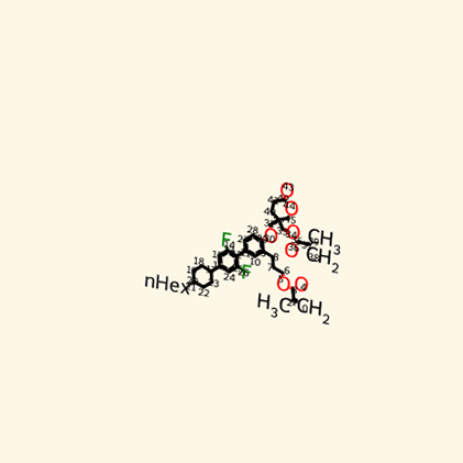 C=C(C)C(=O)OCCCc1cc(-c2c(F)cc(C3CCC(CCCCCC)CC3)cc2F)ccc1OCC1(COC(=O)C(=C)C)CCC(=O)OC1